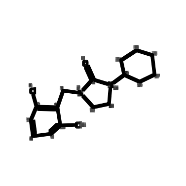 O=C1N(Cc2c(Cl)cccc2Cl)CCN1C1CCCCC1